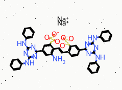 Nc1cc(-c2nc(Nc3ccccc3)nc(Nc3ccccc3)n2)cc(S(=O)(=O)[O-])c1C=Cc1ccc(-c2nc(Nc3ccccc3)nc(Nc3ccccc3)n2)cc1S(=O)(=O)[O-].[Na+].[Na+]